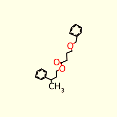 CC(CCOC(=O)CCCOCc1ccccc1)c1ccccc1